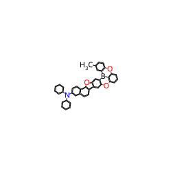 Cc1ccc2c(c1)B1c3cc4oc5c6ccc(N(c7ccccc7)c7ccccc7)cc6ccc5c4cc3Oc3cccc(c31)O2